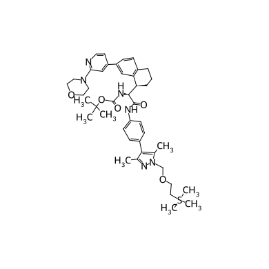 Cc1nn(COCCS(C)(C)C)c(C)c1-c1ccc(NC(=O)[C@@H](NC(=O)OC(C)(C)C)[C@@H]2CCCc3ccc(-c4ccnc(N5CCOCC5)c4)cc32)cc1